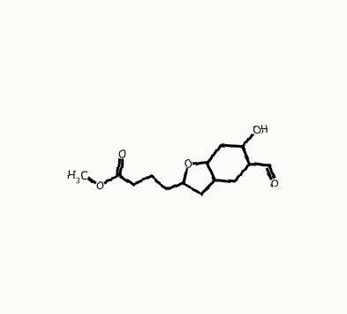 COC(=O)CCCC1CC2CC(C=O)C(O)CC2O1